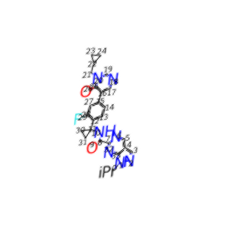 CC(C)n1ncc2cnc(C(=O)NC3(c4ccc(-c5cncn(CC6CC6)c5=O)cc4F)CC3)nc21